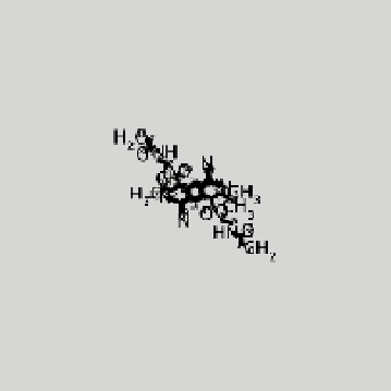 C=CC(=O)NCCOC(=O)C(CC(C)C)c1cc(=C(C#N)C#N)c(C(CC(C)C)C(=O)OCCNC(=O)C=C)cc1=C(C#N)C#N